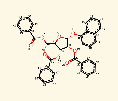 O=C(OC[C@H]1O[C@H](Oc2cccc3ccccc23)[C@H](OC(=O)c2ccccc2)[C@@H]1OC(=O)c1ccccc1)c1ccccc1